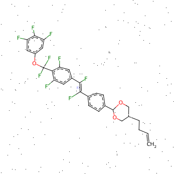 C=CCCC1COC(c2ccc(/C(F)=C(\F)c3cc(F)c(C(F)(F)Oc4cc(F)c(F)c(F)c4)c(F)c3)cc2)OC1